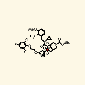 COc1cccc(CN(C(=O)C2=C(c3cnc(OCCOc4c(Cl)cc(F)cc4Cl)s3)CC3CN(C(=O)OC(C)(C)C)C[C@H]2N3C(=O)OC(C)(C)C)C2CC2)c1C